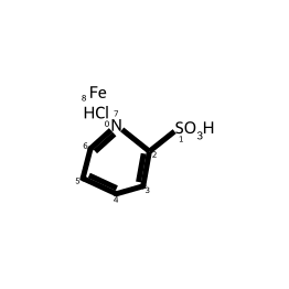 Cl.O=S(=O)(O)c1ccccn1.[Fe]